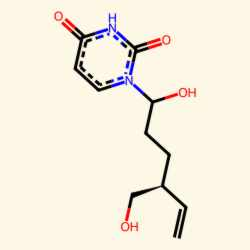 C=C[C@@H](CO)CCC(O)n1ccc(=O)[nH]c1=O